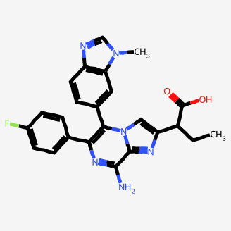 CCC(C(=O)O)c1cn2c(-c3ccc4ncn(C)c4c3)c(-c3ccc(F)cc3)nc(N)c2n1